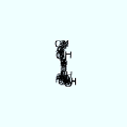 CC1(C)C(NC(=O)c2ccc(N3CCN(CCOCCCNc4ccc(F)c5c4C(=O)N(C4CCC(=O)NC4=O)C5=O)CC3)nc2)C(C)(C)C1Oc1ccc(C#N)c(Cl)c1